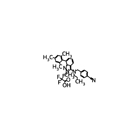 CCCN(Cc1ccc(C#N)cc1)c1c2cccc(-c3c(C)cc(C)cc3C)c2nn1C.O=C(O)C(F)(F)F